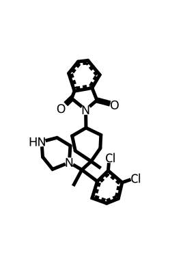 CC1(C(C)(c2cccc(Cl)c2Cl)N2CCNCC2)CCC(N2C(=O)c3ccccc3C2=O)CC1